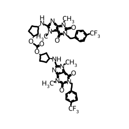 Cn1c(N[C@H]2CC[C@@H](OC(=O)O[C@@H]3CC[C@H](Nc4nc5c(c(=O)n(Cc6ccc(C(F)(F)F)cc6)c(=O)n5C)n4C)C3)C2)nc2c1c(=O)n(Cc1ccc(C(F)(F)F)cc1)c(=O)n2C